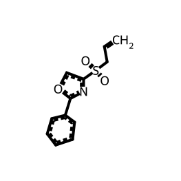 C=CCS(=O)(=O)c1coc(-c2ccccc2)n1